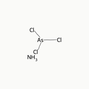 Cl[As](Cl)Cl.N